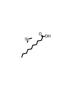 CCCCCCCCCC(=O)O.[CH3][Sn][CH3]